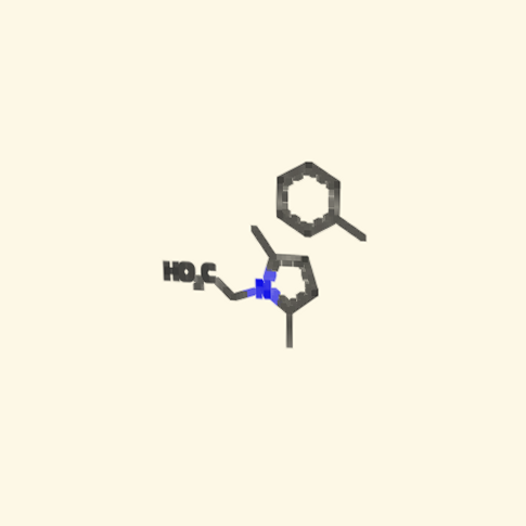 Cc1ccc(C)n1CC(=O)O.Cc1ccccc1